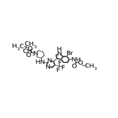 CCOC(=O)Nc1ccc2c(-c3nc(NC4CCCN(C(=O)OC(C)(C)C)C4)ncc3C(F)(F)F)c[nH]c2c1Br